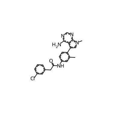 Cc1cc(NC(=O)Cc2cccc(Cl)c2)ccc1-c1cn(C)c2ncnc(N)c12